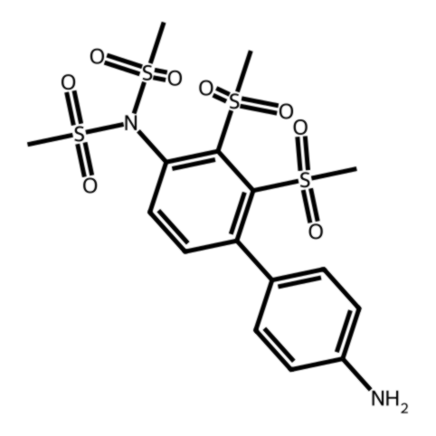 CS(=O)(=O)c1c(-c2ccc(N)cc2)ccc(N(S(C)(=O)=O)S(C)(=O)=O)c1S(C)(=O)=O